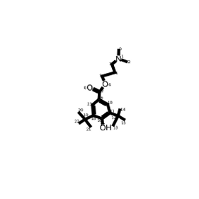 CN(C)CCCOC(=O)c1cc(C(C)(C)C)c(O)c(C(C)(C)C)c1